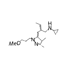 C/C=C(\C=C1/C(C)C(C)=NN1CCCOC)CNC1CC1